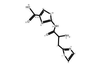 NC(Cc1nccs1)C(=O)Nc1nc(C(=O)O)cs1